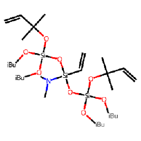 C=CC(C)(C)O[Si](OC(C)CC)(OC(C)CC)O[Si](C=C)(O[Si](OC(C)CC)(OC(C)CC)OC(C)(C)C=C)N(C)C